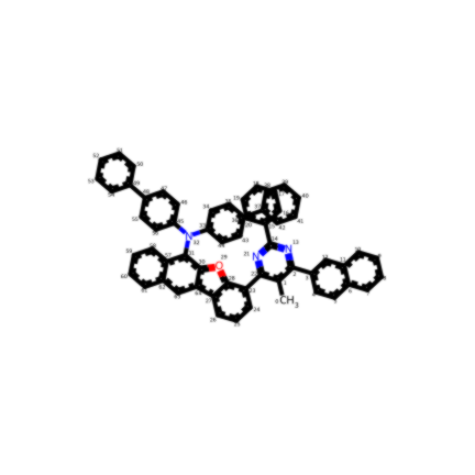 Cc1c(-c2ccc3ccccc3c2)nc(-c2ccccc2)nc1-c1cccc2c1oc1c(N(c3ccc(-c4ccccc4)cc3)c3ccc(-c4ccccc4)cc3)c3ccccc3cc12